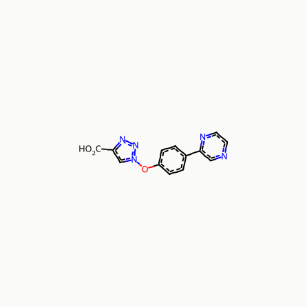 O=C(O)c1cn(Oc2ccc(-c3cnccn3)cc2)nn1